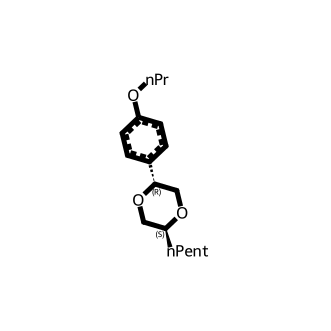 CCCCC[C@H]1CO[C@H](c2ccc(OCCC)cc2)CO1